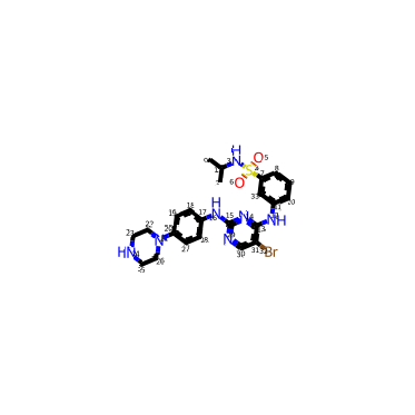 CC(C)NS(=O)(=O)c1cccc(Nc2nc(Nc3ccc(N4CCNCC4)cc3)ncc2Br)c1